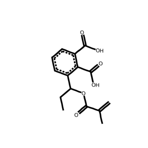 C=C(C)C(=O)OC(CC)c1cccc(C(=O)O)c1C(=O)O